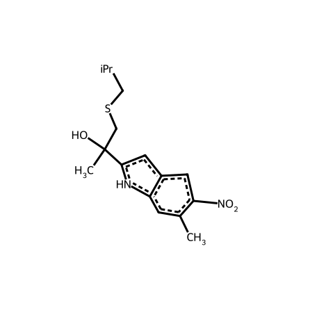 Cc1cc2[nH]c(C(C)(O)CSCC(C)C)cc2cc1[N+](=O)[O-]